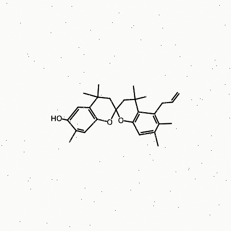 C=CCc1c(C)c(C)cc2c1C(C)(C)CC1(CC(C)(C)c3cc(O)c(C)cc3O1)O2